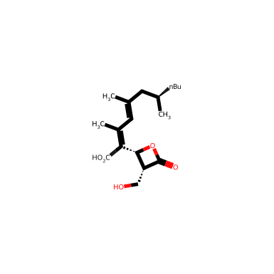 CCCC[C@@H](C)C/C(C)=C/C(C)=C(/C(=O)O)[C@@H]1OC(=O)[C@@H]1CO